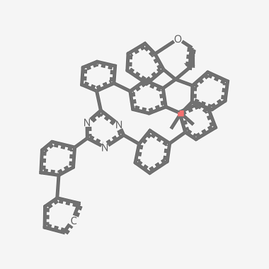 CC1(C)c2ccccc2C2(c3ccccc3Oc3ccccc32)c2cc(-c3ccccc3-c3nc(-c4cccc(-c5ccccc5)c4)nc(-c4cccc(-c5ccccc5)c4)n3)ccc21